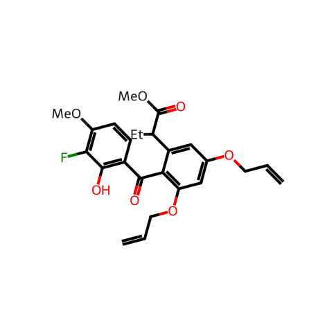 C=CCOc1cc(OCC=C)c(C(=O)c2ccc(OC)c(F)c2O)c(C(CC)C(=O)OC)c1